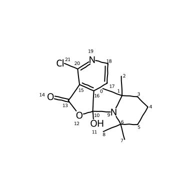 CC1(C)CCCC(C)(C)N1C1(O)OC(=O)c2c1ccnc2Cl